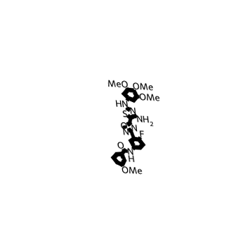 COc1cccc(C(=O)Nc2ccc(F)c(-c3noc(-c4sc(Nc5cc(OC)c(OC)c(OC)c5)nc4N)n3)c2)c1